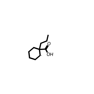 CCCC1(C(=O)O)[CH]CCCC1